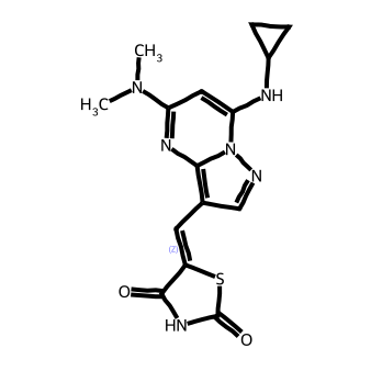 CN(C)c1cc(NC2CC2)n2ncc(/C=C3\SC(=O)NC3=O)c2n1